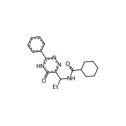 CCC(NC(=O)C1CCCCC1)c1nnc(-c2ccccc2)[nH]c1=O